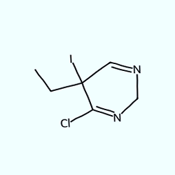 CCC1(I)C=NCN=C1Cl